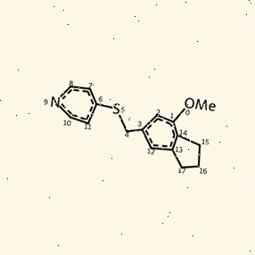 COc1cc(CSc2ccncc2)cc2c1CCC2